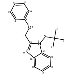 CC(C)(C)Cn1c(COc2ccccc2)nc2ccccc21